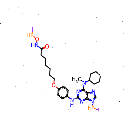 CN(c1nc(Nc2ccc(OCCCCCCC(=O)NOPI)cc2)nc2c1ncn2PI)C1CCCCC1